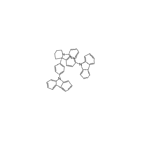 c1ccc(N2CCCCC2(c2ccc(-n3c4ccccc4c4ccccc43)cc2)c2ccc(-n3c4ccccc4c4ccccc43)cc2)cc1